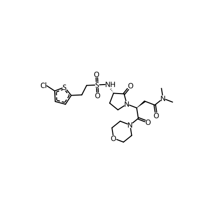 CN(C)C(=O)C[C@@H](C(=O)N1CCOCC1)N1CC[C@H](NS(=O)(=O)CCc2ccc(Cl)s2)C1=O